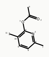 CC(=O)Oc1nc(C)ccc1I